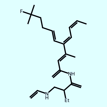 C=CNCC(CC)C(=C)NC(=C)/C=C(C)/C(/C=C/CCC(C)(C)F)=C/C=C\C